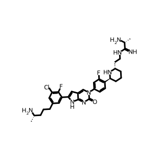 C[C@H](N)CCCc1cc(Cl)c(F)c(-c2cc3cn(-c4ccc([C@@H]5CCC[C@@H](CCNC(=N)[C@@H](C)N)N5)c(F)c4)c(=O)nc3[nH]2)c1